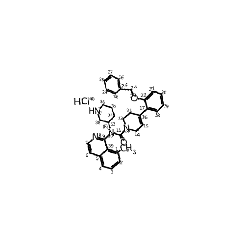 Cc1cccc2ccnc(N(C(=O)N3CC=C(c4ccccc4OCc4ccccc4)CC3)[C@@H]3CCCNC3)c12.Cl